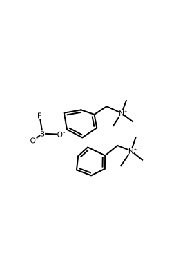 C[N+](C)(C)Cc1ccccc1.C[N+](C)(C)Cc1ccccc1.[O-]B([O-])F